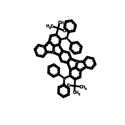 CC(C)(C)c1cc2c3ccccc3n3c4cc5c6c(N(c7ccccc7)c7ccccc7)c(C(C)(C)C)cc7c8ccccc8n(c5cc4c(c1N(c1ccccc1)c1ccccc1)c23)c76